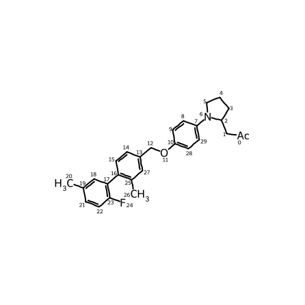 CC(=O)CC1CCCN1c1ccc(OCc2ccc(-c3cc(C)ccc3F)c(C)c2)cc1